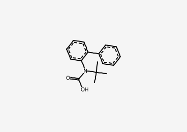 CC(C)(C)N(C(=O)O)c1ccccc1-c1ccccc1